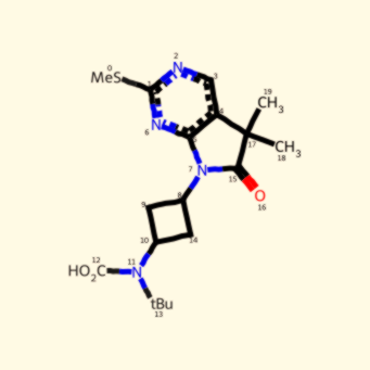 CSc1ncc2c(n1)N(C1CC(N(C(=O)O)C(C)(C)C)C1)C(=O)C2(C)C